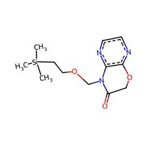 C[Si](C)(C)CCOCN1C(=O)COc2nccnc21